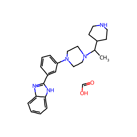 CC(C1CCNCC1)N1CCN(c2cccc(-c3nc4ccccc4[nH]3)c2)CC1.O=CO